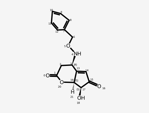 O=C1C[C@@H](NOCc2ccccc2)C2=CC(=O)[C@@H](O)[C@H]2O1